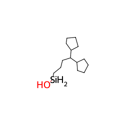 O[SiH2]CCCC(C1CCCC1)C1CCCC1